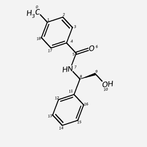 Cc1ccc(C(=O)N[C@@H](CO)c2ccccc2)cc1